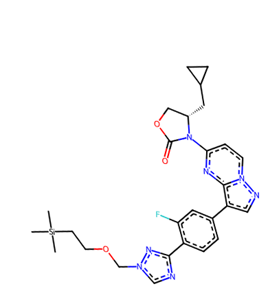 C[Si](C)(C)CCOCn1cnc(-c2ccc(-c3cnn4ccc(N5C(=O)OC[C@@H]5CC5CC5)nc34)cc2F)n1